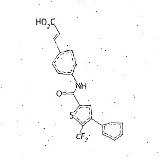 O=C(O)/C=C/c1ccc(NC(=O)c2cc(-c3ccccc3)c(C(F)(F)F)s2)cc1